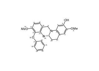 COc1cc2c(cc1O)N(Cc1ccc(OC)c(Oc3ccccc3)c1Br)[CH]CC2